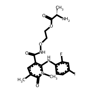 Cc1cc(C(=O)NOCCOC(=O)[C@H](C)N)c(Nc2ccc(I)cc2F)n(C)c1=O